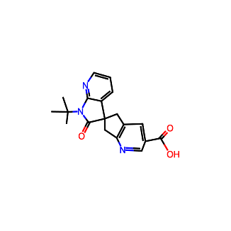 CC(C)(C)N1C(=O)C2(Cc3cc(C(=O)O)cnc3C2)c2cccnc21